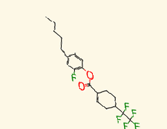 CCCCCc1ccc(OC(=O)C2CCC(C(F)(F)C(F)(F)F)CC2)c(F)c1